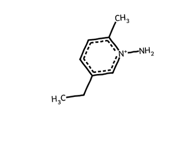 CCc1ccc(C)[n+](N)c1